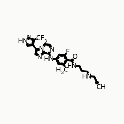 C#CCNCCCNC(=O)c1c(C)cc(Nc2nccn3c(-c4c[nH]nc4C(F)(F)F)cnc23)cc1F